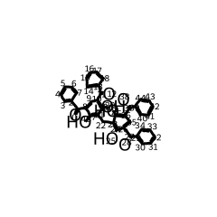 O=C(c1ccccc1)c1cc(C(=O)c2ccccc2)c(O)c(Cc2c(O)c(C(=O)c3ccccc3)cc(C(=O)c3ccccc3)c2O)c1O